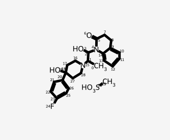 CC(C(O)N1C(=O)CCc2ccccc21)N1CCC(O)(c2ccc(F)cc2)CC1.CS(=O)(=O)O